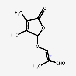 CC1=C(C)C(O/C=C(\C)C=O)OC1=O